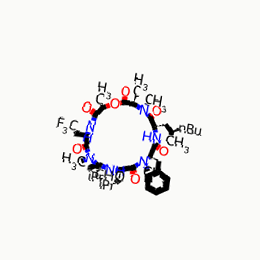 CCCC[C@@H](C)C[C@@H]1NC(=O)[C@H](Cc2ccccc2)N(C)C(=O)[C@H](CC(C)C)NC(C=O)(CC(C)C)N(C)C(=O)C(CC(F)(F)F)NC(=O)[C@@H](C)OC(=O)[C@H](C)N(C)C1=O